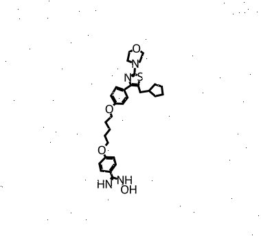 N=C(NO)c1ccc(OCCCCCOc2ccc(-c3nc(N4CCOCC4)sc3CC3CCCC3)cc2)cc1